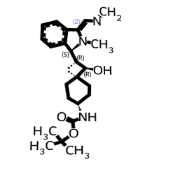 C=N/C=C1/c2ccccc2[C@H]([C@H]2C[C@]3(CC[C@@H](NC(=O)OC(C)(C)C)CC3)[C@@H]2O)N1C